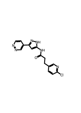 O=C(CCc1ccc(Cl)nc1)Nc1cc(-c2ccnnc2)n[nH]1